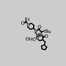 CCC(=O)N1CCC(N(C)C(=O)C(NC(=O)C(CC2CCCC2)CN(O)C=O)C(C)(C)C)CC1